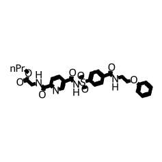 CCCOC(=O)CNC(=O)c1ccc(C(=O)NS(=O)(=O)c2ccc(C(=O)NCCOc3ccccc3)cc2)cn1